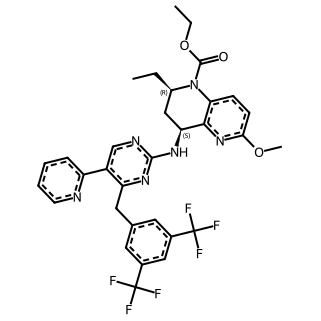 CCOC(=O)N1c2ccc(OC)nc2[C@@H](Nc2ncc(-c3ccccn3)c(Cc3cc(C(F)(F)F)cc(C(F)(F)F)c3)n2)C[C@H]1CC